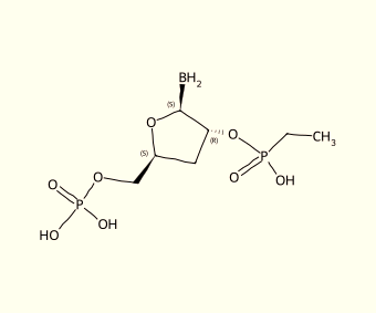 B[C@@H]1O[C@H](COP(=O)(O)O)C[C@H]1OP(=O)(O)CC